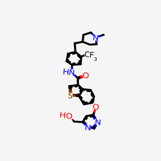 CN1CCC(Cc2ccc(NC(=O)c3csc4cc(Oc5cc(CO)ncn5)ccc34)cc2C(F)(F)F)CC1